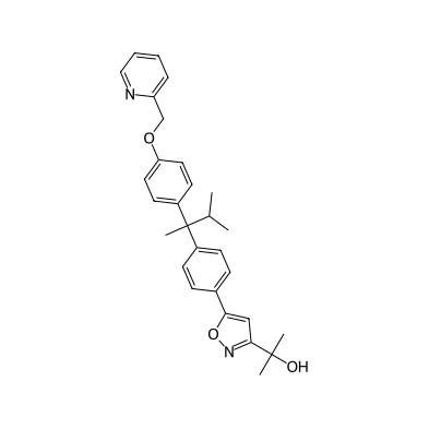 CC(C)C(C)(c1ccc(OCc2ccccn2)cc1)c1ccc(-c2cc(C(C)(C)O)no2)cc1